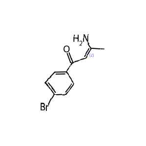 C/C(N)=C/C(=O)c1ccc(Br)cc1